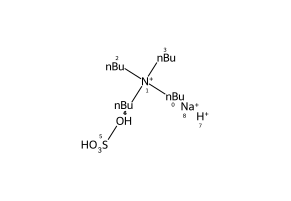 CCCC[N+](CCCC)(CCCC)CCCC.O=S(=O)(O)O.[H+].[Na+]